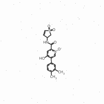 Cc1ccc(-c2c[n+]([O-])c(C(=O)NC3C=CS(=O)(=O)C3)cc2O)cc1C